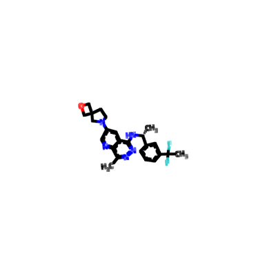 Cc1nnc(N[C@H](C)c2cccc(C(C)(F)F)c2)c2cc(N3CCC4(COC4)C3)cnc12